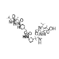 CN[C@H](C(=O)N[C@H](C(=O)N(C)[C@H](/C=C(\C)C(=O)O)C(C)C)C(C)(C)C)C(C)(C)c1cccc(NC(=O)OCc2ccc(NC(=O)[C@H](C)NC(=O)[C@@H](N)C(C)C)cc2)c1